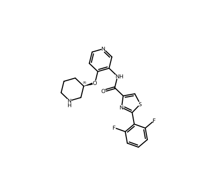 O=C(Nc1cnccc1O[C@@H]1CCCNC1)c1csc(-c2c(F)cccc2F)n1